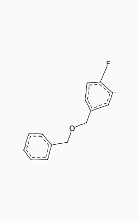 Fc1[c]cc(COCc2ccccc2)cc1